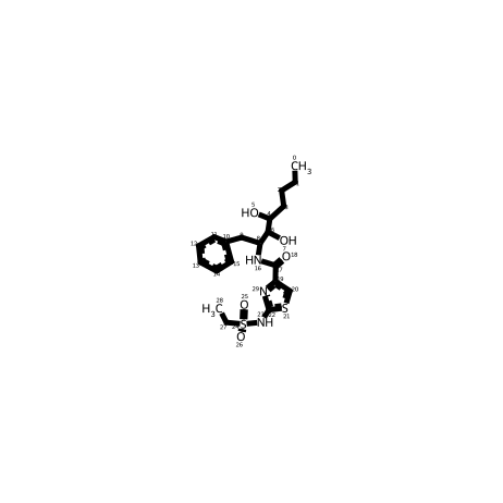 CCCCC(O)C(O)C(Cc1ccccc1)NC(=O)c1csc(NS(=O)(=O)CC)n1